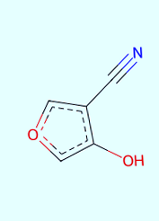 N#Cc1cocc1O